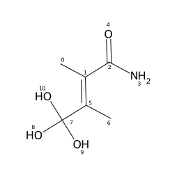 CC(C(N)=O)=C(C)C(O)(O)O